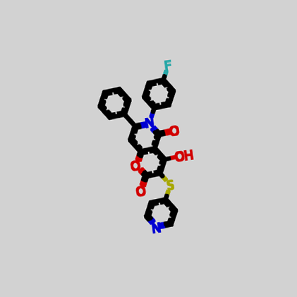 O=c1oc2cc(-c3ccccc3)n(-c3ccc(F)cc3)c(=O)c2c(O)c1Sc1ccncc1